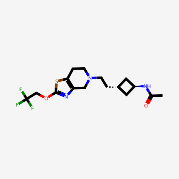 CC(=O)N[C@H]1C[C@H](CCN2CCc3sc(OCC(F)(F)F)nc3C2)C1